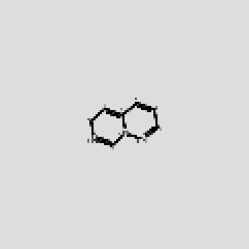 [C]1=CC=NN2C=NCC=C12